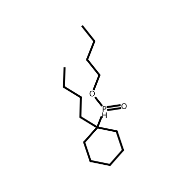 CCCCO[PH](=O)C1(CCCC)CCCCC1